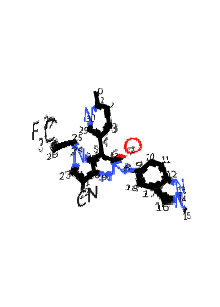 Cc1ccc(-c2c(=O)n(-c3ccc4nn(C)cc4c3)nc3c(C#N)cn(CCC(F)(F)F)c23)cn1